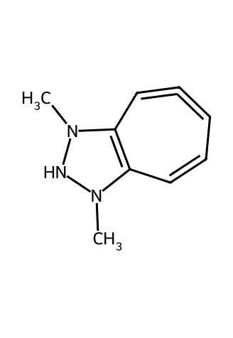 CN1NN(C)C2=C1C=C=CC=C2